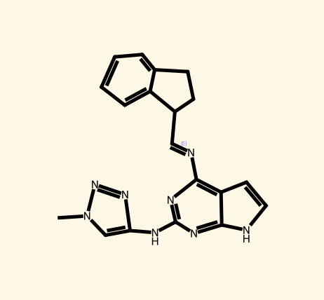 Cn1cc(Nc2nc(/N=C/C3CCc4ccccc43)c3cc[nH]c3n2)nn1